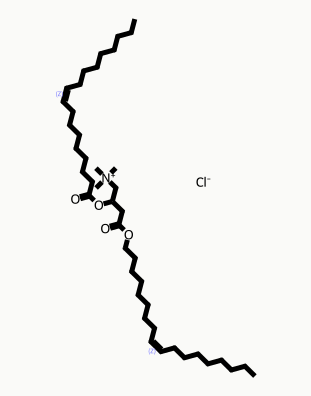 CCCCCCCC/C=C\CCCCCCCCOC(=O)CC(C[N+](C)(C)C)OC(=O)CCCCCCC/C=C\CCCCCCCC.[Cl-]